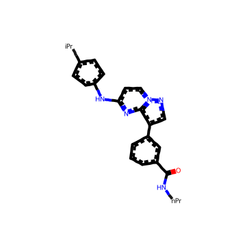 CCCNC(=O)c1cccc(-c2cnn3ccc(Nc4ccc(C(C)C)cc4)nc23)c1